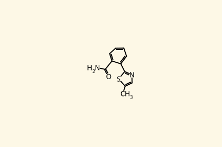 Cc1cnc(-c2ccccc2C(N)=O)s1